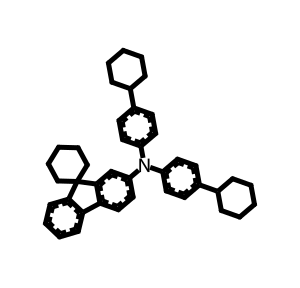 c1ccc2c(c1)-c1ccc(N(c3ccc(C4CCCCC4)cc3)c3ccc(C4CCCCC4)cc3)cc1C21CCCCC1